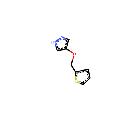 [c]1n[nH]cc1OCc1cccs1